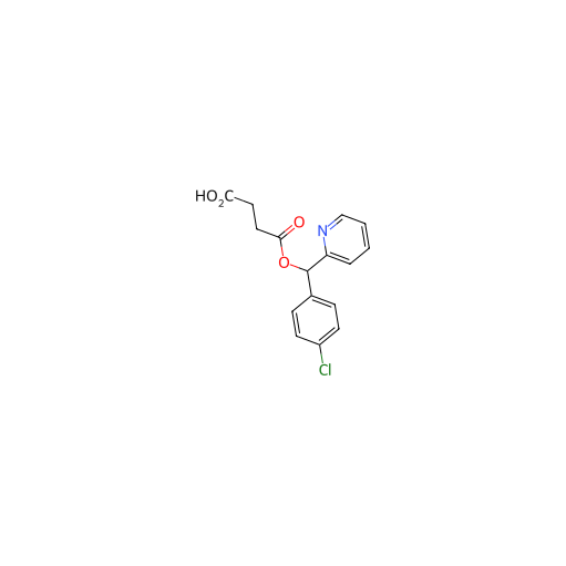 O=C(O)CCC(=O)OC(c1ccc(Cl)cc1)c1ccccn1